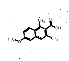 COc1ccc2c(C)c(C(=O)O)c(C)cc2c1